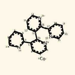 [Co].c1ccc(-c2cccnc2-c2cccnc2-c2ccccn2)nc1